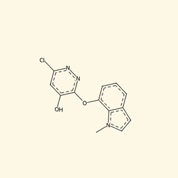 Cn1ccc2cccc(Oc3nnc(Cl)cc3O)c21